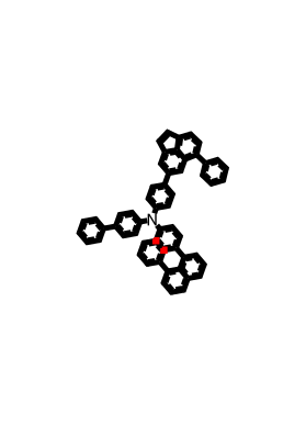 C1=Cc2cc(-c3ccc(N(c4ccc(-c5ccccc5)cc4)c4ccc(-c5cccc6cccc(-c7ccccc7)c56)cc4)cc3)cc3c(-c4ccccc4)ccc1c23